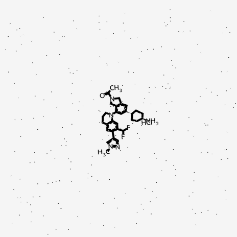 CC(=O)N1Cc2cc([C@H]3CC[C@H](N)CC3)cc(N3CCCc4cc(-c5cnn(C)c5)c(C(F)F)cc43)c2C1.Cl